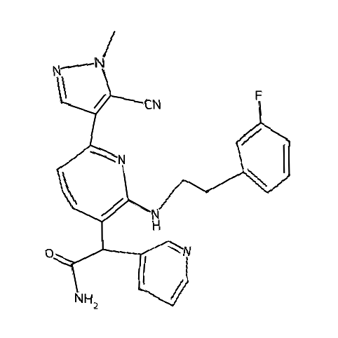 Cn1ncc(-c2ccc(C(C(N)=O)c3cccnc3)c(NCCc3cccc(F)c3)n2)c1C#N